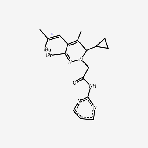 CCC(C)/C(C)=C\C1=C(C)C(C2CC2)N(CC(=O)Nc2ncccn2)N=C1C(C)C